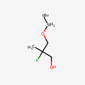 CC(F)(CO)CO[SiH2]C(C)(C)C